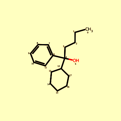 CCCCC(O)(c1ccccc1)C1CCCCC1